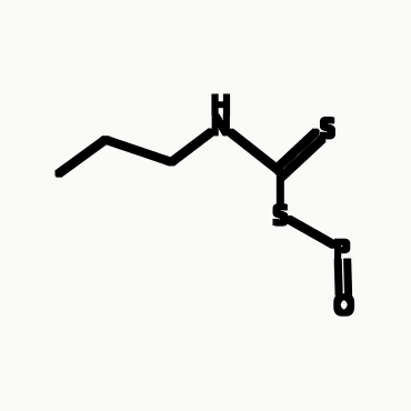 CCCNC(=S)SP=O